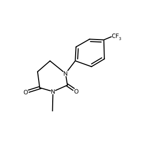 CN1C(=O)CCN(c2ccc(C(F)(F)F)cc2)C1=O